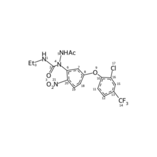 CCNC(=O)N(NC(C)=O)c1cc(Oc2ccc(C(F)(F)F)cc2Cl)ccc1[N+](=O)[O-]